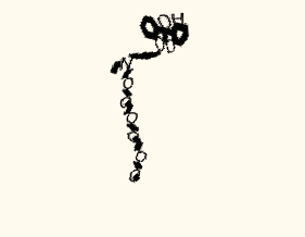 CCN(CC#CCOC(=O)C(O)(c1ccccc1)C1CCCCC1)CCOCCOCCOCCOCCOCCOC